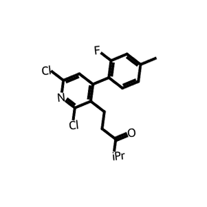 Cc1ccc(-c2cc(Cl)nc(Cl)c2CCC(=O)C(C)C)c(F)c1